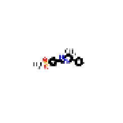 Cc1cc(C2=CCCCC2)cn2cc(-c3ccc(S(C)(=O)=O)cc3)nc12